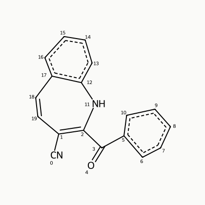 N#CC1=C(C(=O)c2ccccc2)Nc2ccccc2C=C1